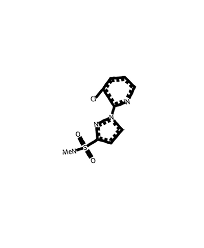 CNS(=O)(=O)c1c[c]n(-c2ncccc2Cl)n1